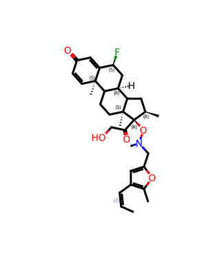 C/C=C\c1cc(CN(C)O[C@]2(C(=O)CO)[C@H](C)CC3[C@@H]4C[C@H](F)C5=CC(=O)C=C[C@]5(C)C4CC[C@@]32C)oc1C